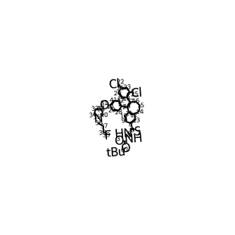 CC(C)(C)OC(=O)NNC(=S)c1ccc2c(c1)CCCC(c1ccc(Cl)cc1Cl)=C2c1ccc(O[C@H]2CCN(CCCF)C2)cc1